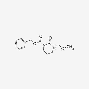 COC[C@@H]1CCCN(C(=O)OCc2ccccc2)C1=O